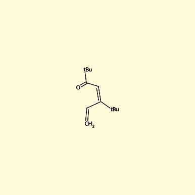 C=C/C(=C\C(=O)C(C)(C)C)C(C)(C)C